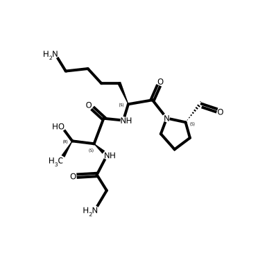 C[C@@H](O)[C@H](NC(=O)CN)C(=O)N[C@@H](CCCCN)C(=O)N1CCC[C@H]1[C]=O